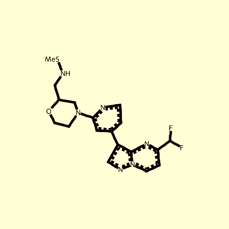 CSNCC1CN(c2cc(-c3cnn4ccc(C(F)F)nc34)ccn2)CCO1